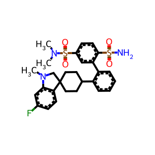 CN1CC2(CCC(c3ccccc3-c3cc(S(=O)(=O)N(C)C)ccc3S(N)(=O)=O)CC2)c2ccc(F)cc21